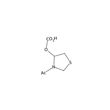 CC(=O)N1CSCC1OC(=O)O